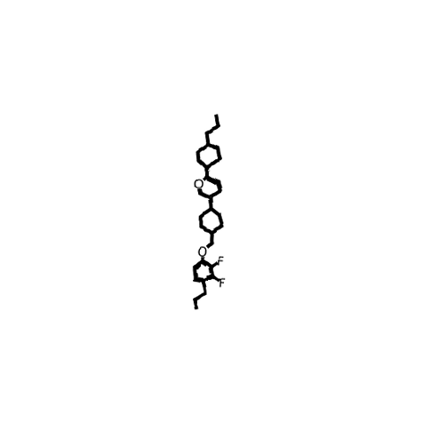 CCCc1ccc(OCC2CCC(C3CC=C(C4CCC(CCC)CC4)OC3)CC2)c(F)c1F